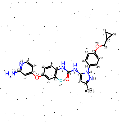 CC(C)(C)c1cc(NC(=O)Nc2ccc(Oc3ccnc(N)c3)cc2F)n(-c2ccc(OCC3CC3)cc2)n1